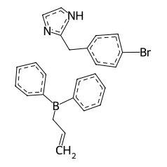 Brc1ccc(Cc2ncc[nH]2)cc1.C=CCB(c1ccccc1)c1ccccc1